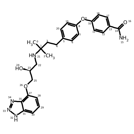 CC(C)(CCc1ccc(Oc2ccc(C(N)=O)cc2)cc1)NC[C@H](O)COc1cccc2[nH]nnc12